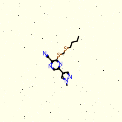 CCCCSCSc1nc(-c2cnn(C)c2)cnc1C#N